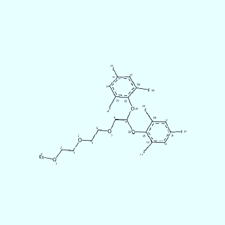 CCOCCOCCOCC(Oc1c(I)cc(I)cc1I)Oc1c(I)cc(I)cc1I